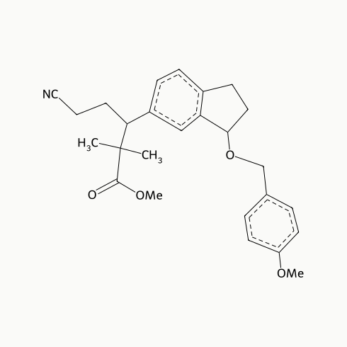 COC(=O)C(C)(C)C(CCC#N)c1ccc2c(c1)C(OCc1ccc(OC)cc1)CC2